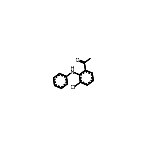 CC(=O)c1cccc(Cl)c1Nc1ccccc1